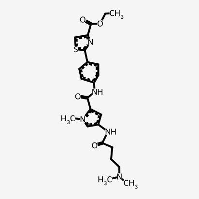 CCOC(=O)c1csc(-c2ccc(NC(=O)c3cc(NC(=O)CCCN(C)C)cn3C)cc2)n1